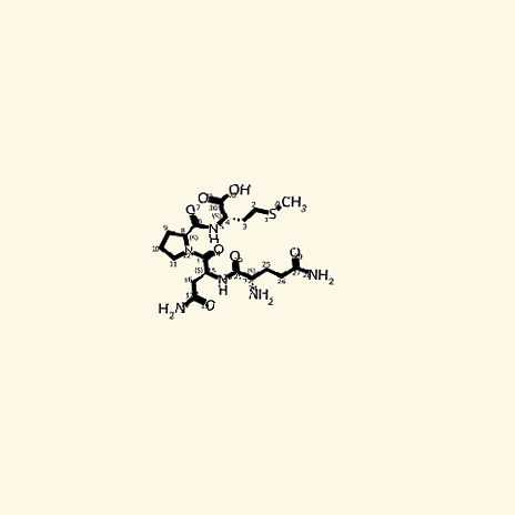 CSCC[C@H](NC(=O)[C@@H]1CCCN1C(=O)[C@H](CC(N)=O)NC(=O)[C@@H](N)CCC(N)=O)C(=O)O